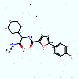 CNC(=O)C(NC(=O)c1ccc(-c2ccc(Br)cc2)o1)C1CCCCC1